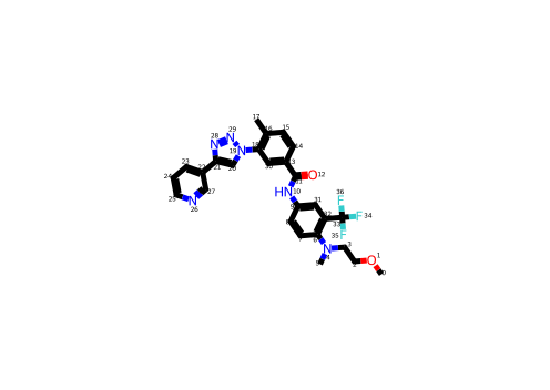 COCCN(C)c1ccc(NC(=O)c2ccc(C)c(-n3cc(-c4cccnc4)nn3)c2)cc1C(F)(F)F